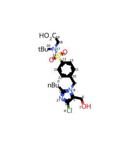 CCCCc1nc(Cl)c(CO)n1Cc1ccc(S(=O)(=O)N(CC(=O)O)C(C)(C)C)cc1